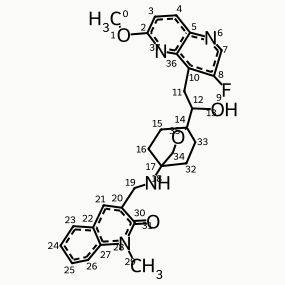 COc1ccc2ncc(F)c(CC(O)C34CCC(NCc5cc6ccccc6n(C)c5=O)(CC3)CO4)c2n1